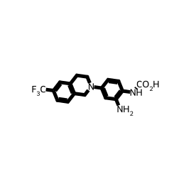 Nc1cc(N2CCc3cc(C(F)(F)F)ccc3C2)ccc1NC(=O)O